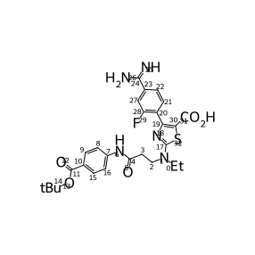 CCN(CCC(=O)Nc1ccc(C(=O)OC(C)(C)C)cc1)c1nc(-c2ccc(C(=N)N)cc2F)c(C(=O)O)s1